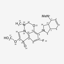 CNC1C=CCC2CN(c3c(F)cc4c(=O)c(OC(=O)O)cn5c4c3OCN5C)CC21